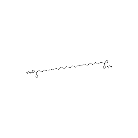 CCCOC(=O)CCCCCCCCCCCCCCCCCCCCCCCC(=O)OCCC